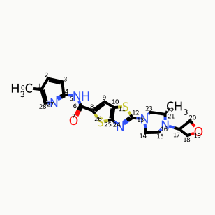 Cc1ccc(NC(=O)c2cc3sc(N4CCN(C5COC5)[C@H](C)C4)nc3s2)nc1